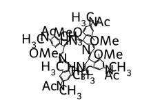 COc1cc(N(C)C(C)=O)cc(C)c1-c1c2nc(c(-c3c(OC)cc(N(C)C(C)=O)cc3OC)c3ccc([nH]3)c(-c3c(C)cc(N(C)C(C)=O)cc3OC)c3nc(c(-c4c(C)cc(N(C)C(C)=O)cc4C)c4ccc1[nH]4)C=C3)C=C2